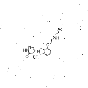 CC(=O)CCNCCOc1cccc2c1CN(c1cn[nH]c(=O)c1C(F)(F)F)C2